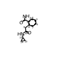 NC(=O)c1ccccc1[CH]C(=O)NC1CC1